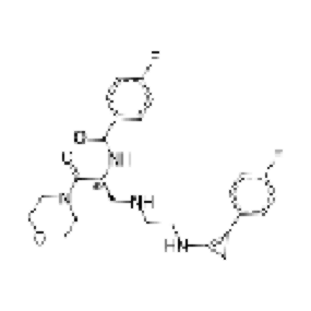 O=C(N[C@@H](CNCCNC1=C(c2ccc(F)cc2)C1)C(=O)N1CCOCC1)c1ccc(F)cc1